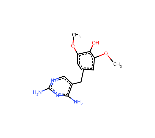 COc1cc(Cc2cnc(N)nc2N)cc(OC)c1O